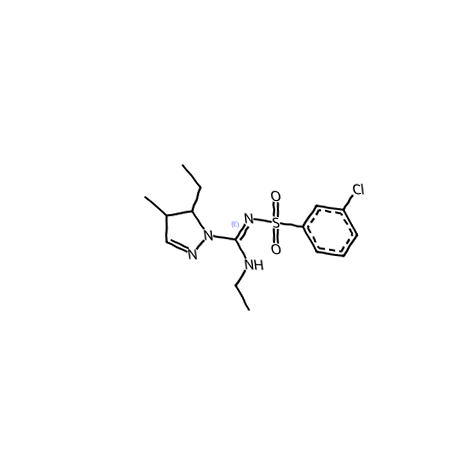 CCN/C(=N\S(=O)(=O)c1cccc(Cl)c1)N1N=CC(C)C1CC